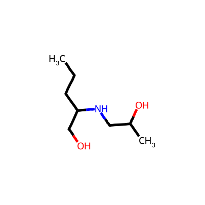 CCCC(CO)NCC(C)O